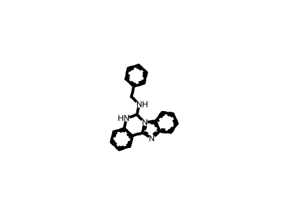 c1ccc(CNC2Nc3ccccc3-c3nc4ccccc4n32)cc1